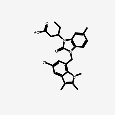 CCC(CC(=O)O)n1c(=O)n(Cc2cc(Cl)cc3c(C)c(C)n(C)c23)c2ccc(C)cc21